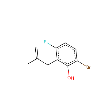 C=C(C)Cc1c(F)ccc(Br)c1O